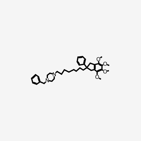 COc1c2c(c(OC)c(OC)c1OC)CC(CCCCCCCCN1CCN(Cc3ccccc3)CC1)(c1ccccc1)C2